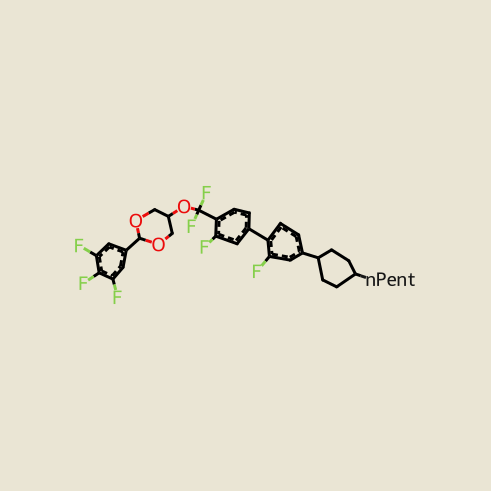 CCCCCC1CCC(c2ccc(-c3ccc(C(F)(F)OC4COC(c5cc(F)c(F)c(F)c5)OC4)c(F)c3)c(F)c2)CC1